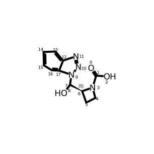 O=C(O)N1CC[C@H]1C(O)n1nnc2ccccc21